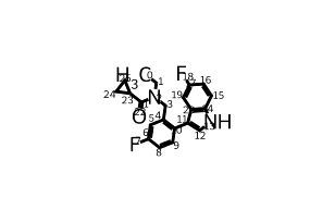 CCN(Cc1cc(F)ccc1-c1c[nH]c2ccc(F)cc12)C(=O)C1CC1